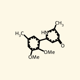 COc1cc(C)cc(-c2cc(=O)cc(C)[nH]2)c1OC